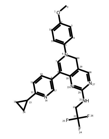 COc1ccc(N2C=C(c3ccc(C4CC4)nc3)c3nc(NCC(F)(F)F)ncc3C2)cc1